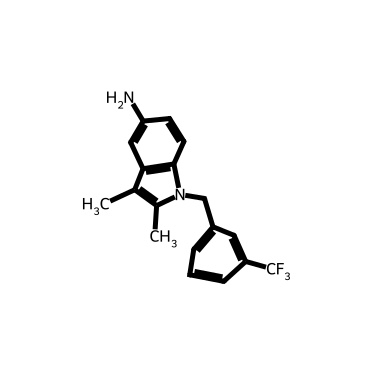 Cc1c(C)n(Cc2cccc(C(F)(F)F)c2)c2ccc(N)cc12